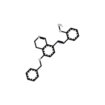 COc1ccccc1/C=C/c1ccc(OCc2ccccc2)c2c1C=NCC2